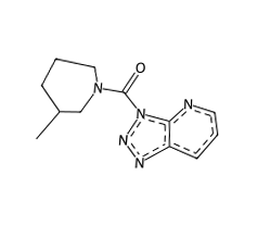 CC1CCCN(C(=O)n2nnc3cccnc32)C1